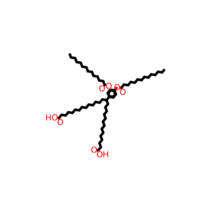 CCCCCCCCCCCCCC(=O)Oc1ccc(C(CCCCCCCCCCCCCC(=O)O)CCCCCCCCCCCCCC(=O)O)cc1OC(=O)CCCCCCCCCCCCC